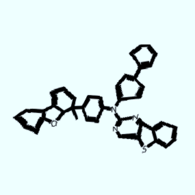 CC1(c2ccc(N(c3ccc(-c4ccccc4)cc3)c3ncc4sc5ccccc5c4n3)cc2)C=CC=C2c3ccccc3OC21